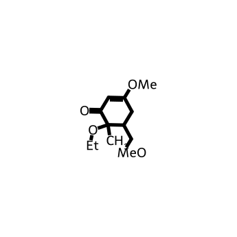 CCOC1(C)C(=O)C=C(OC)CC1COC